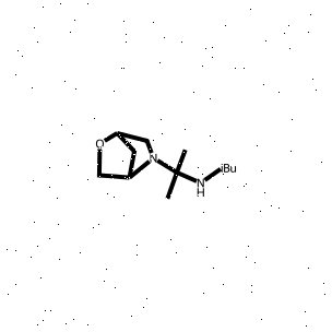 CCC(C)NC(C)(C)N1CC2CC1CO2